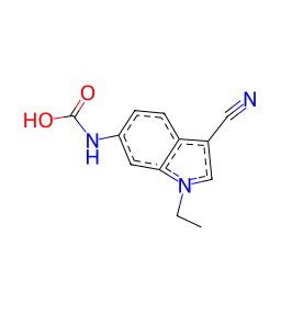 CCn1cc(C#N)c2ccc(NC(=O)O)cc21